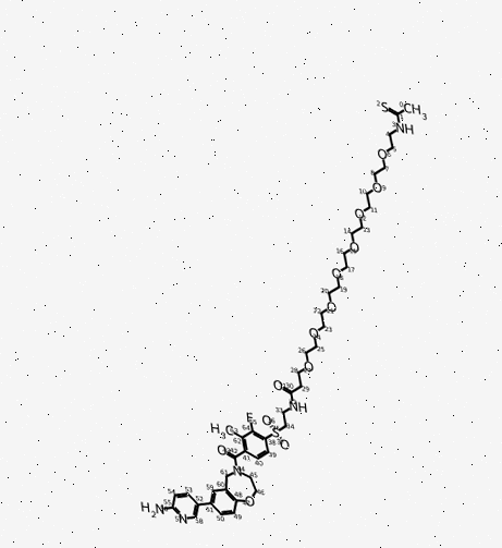 CC(=S)NCCOCCOCCOCCOCCOCCOCCOCCOCCC(=O)NCCS(=O)(=O)c1ccc(C(=O)N2CCOc3ccc(-c4ccc(N)nc4)cc3C2)c(C)c1F